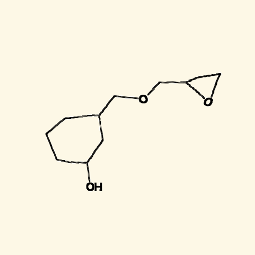 OC1CCCC(COCC2CO2)C1